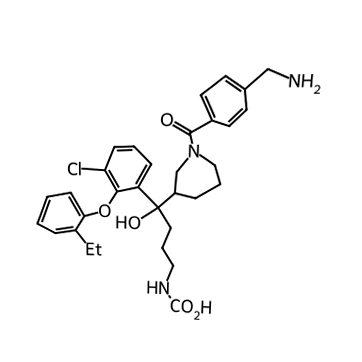 CCc1ccccc1Oc1c(Cl)cccc1C(O)(CCCNC(=O)O)C1CCCN(C(=O)c2ccc(CN)cc2)C1